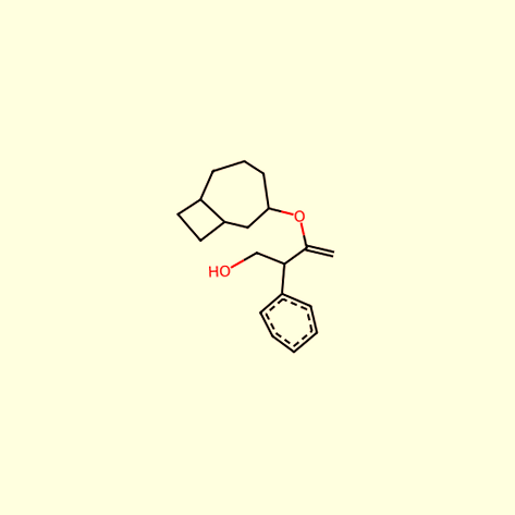 C=C(OC1CCCC2CCC2C1)C(CO)c1ccccc1